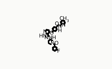 Cc1ccnc(NC(=O)c2ccc(Oc3ccnc4[nH]nc(N[C@@H]5CCCN(C(=O)c6cccc(F)c6)C5)c34)cc2)c1